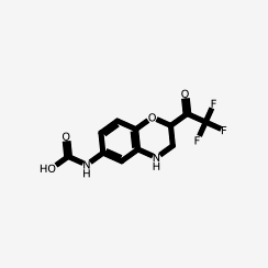 O=C(O)Nc1ccc2c(c1)NCC(C(=O)C(F)(F)F)O2